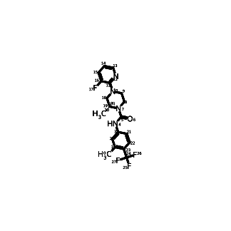 Cc1cc(NC(=O)N2CCN(c3ncccc3F)C[C@H]2C)ccc1C(F)(F)F